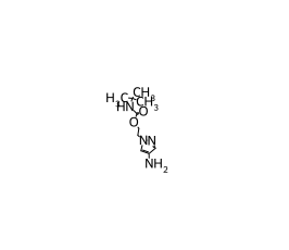 CC(C)(C)NC(=O)OCCn1cc(N)cn1